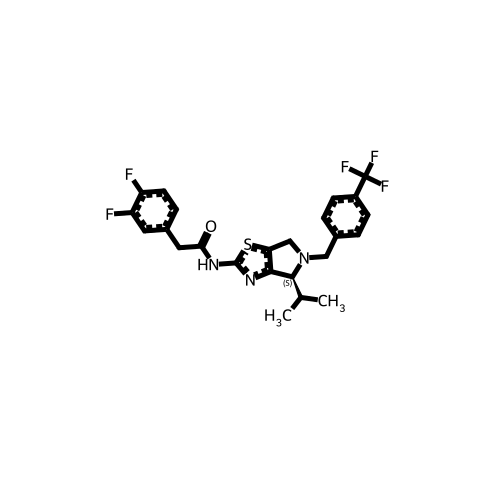 CC(C)[C@H]1c2nc(NC(=O)Cc3ccc(F)c(F)c3)sc2CN1Cc1ccc(C(F)(F)F)cc1